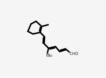 CC1=C(C=CC(=CC=CC=O)C(C)(C)C)CCCC1